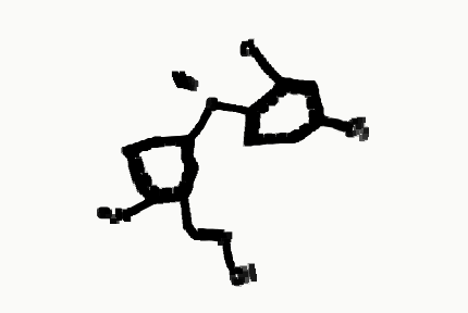 O=[N+]([O-])c1ccc(Oc2ccc(C(F)(F)F)cc2Cl)cc1C=NO.[Na]